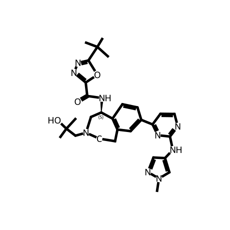 Cn1cc(Nc2nccc(-c3ccc4c(c3)CCN(CC(C)(C)O)C[C@H]4NC(=O)c3nnc(C(C)(C)C)o3)n2)cn1